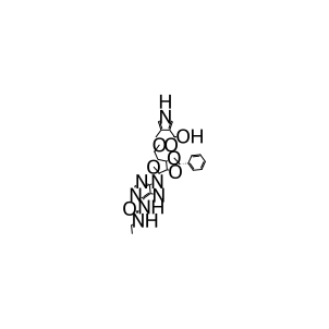 CCNC(=O)Nc1ncnc2c1ncn2C1OC(COCc2c[nH]cc2C(=O)O)C2O[C@H](c3ccccc3)OC21